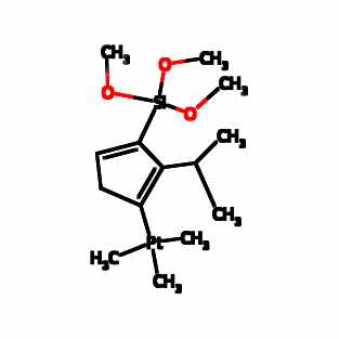 CO[Si](OC)(OC)C1=CC[C]([Pt]([CH3])([CH3])[CH3])=C1C(C)C